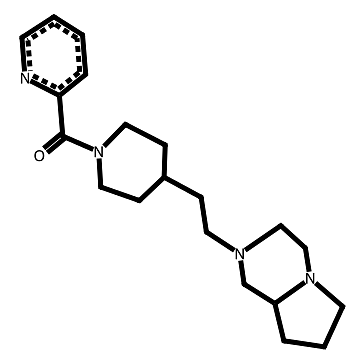 O=C(c1ccccn1)N1CCC(CCN2CCN3CCCC3C2)CC1